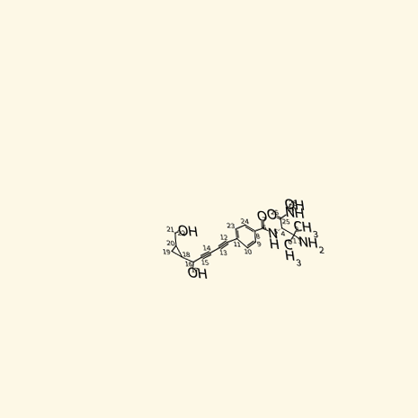 CC(C)(N)[C@H](NC(=O)c1ccc(C#CC#CC(O)C2CC2CO)cc1)C(=O)NO